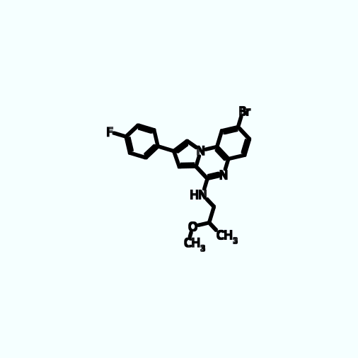 COC(C)CNc1nc2ccc(Br)cc2n2cc(-c3ccc(F)cc3)cc12